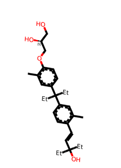 CCC(O)(C=Cc1ccc(C(CC)(CC)c2ccc(OC[C@@H](O)CO)c(C)c2)cc1C)CC